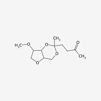 COC1COC2COC(C)(CCC(C)=O)OC12